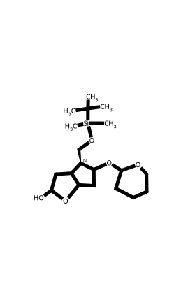 CC(C)(C)[Si](C)(C)OC[C@H]1C(OC2CCCCO2)CC2OC(O)CC21